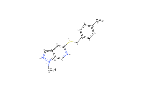 COc1ccc(CSc2cc3cnn(C(=O)O)c3cn2)cc1